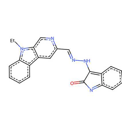 CCn1c2ccccc2c2cc(C=NNC3=c4ccccc4=NC3=O)ncc21